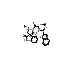 CC(C)C[C@@H](C(=O)N1C[C@]2(C[C@H]1C#N)C(=O)Nc1ccccc12)N(C)C(=O)c1cc2ccccc2o1